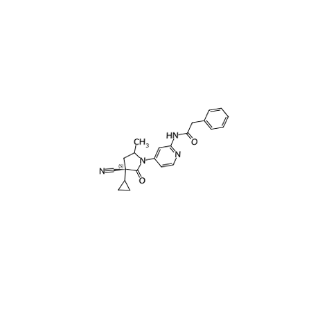 CC1C[C@@](C#N)(C2CC2)C(=O)N1c1ccnc(NC(=O)Cc2ccccc2)c1